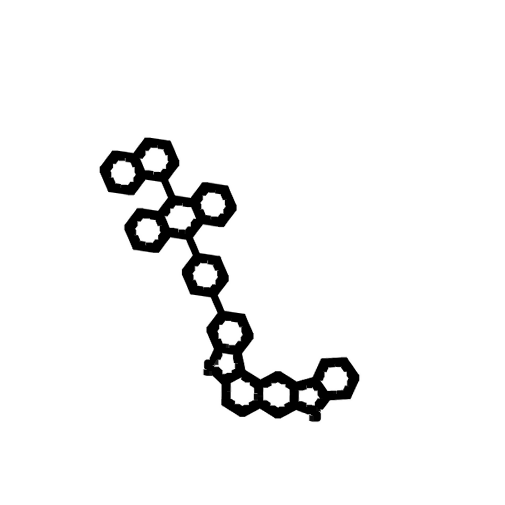 c1ccc2c(-c3c4ccccc4c(-c4ccc(-c5ccc6c(c5)sc5ccc7cc8sc9ccccc9c8cc7c56)cc4)c4ccccc34)cccc2c1